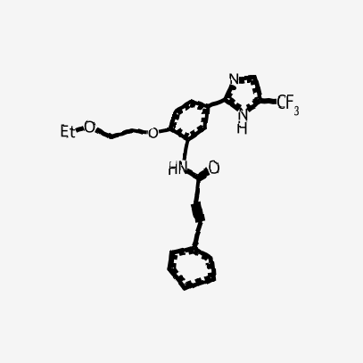 CCOCCOc1ccc(-c2ncc(C(F)(F)F)[nH]2)cc1NC(=O)C#Cc1ccccc1